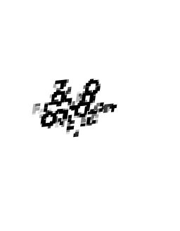 CCC1C(C)C(N(Cc2cc(C(F)(F)F)cc(C(F)(F)F)c2)c2cnc3c(c2)CCCC3)c2nc3c(cc2N1C(=O)OC(C)C)CCCC3